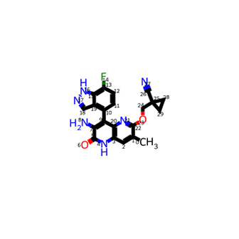 Cc1cc2[nH]c(=O)c(N)c(-c3ccc(F)c4[nH]ncc34)c2nc1OCC1(C#N)CC1